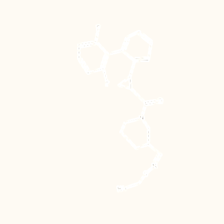 O=C(C1CC1c1ccccc1-c1c(F)cccc1F)N1CCCC(/C=N\SCO)C1